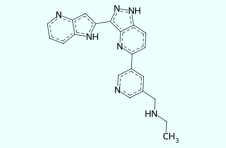 CCNCc1cncc(-c2ccc3[nH]nc(-c4cc5ncccc5[nH]4)c3n2)c1